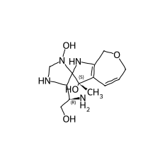 C[C@]1(O)C2=C(COCC=C2)NC12C([C@@H](N)CO)NCN2O